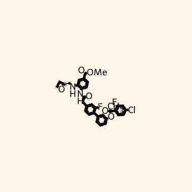 COC(=O)c1ccc(NC(=O)Cc2ccc(-c3cccc4c3OC(C)(c3ccc(Cl)cc3F)O4)c(F)c2)c(NC[C@@H]2CCO2)c1